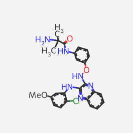 COc1ccc(Cl)c(Nc2nc3ccccc3nc2NOc2cccc(NC(=O)C(C)(C)N)c2)c1